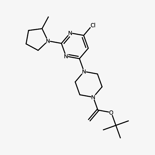 C=C(OC(C)(C)C)N1CCN(c2cc(Cl)nc(N3CCCC3C)n2)CC1